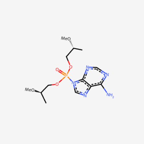 CO[C@H](C)COP(=O)(OC[C@@H](C)OC)n1cnc2c(N)ncnc21